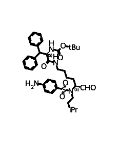 CC(C)CCN([C@H](C=O)CCCCNC(=O)[C@@H](NC(=O)OC(C)(C)C)C(c1ccccc1)c1ccccc1)S(=O)(=O)c1ccc(N)cc1